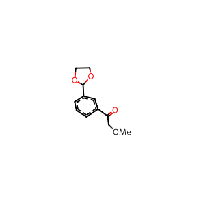 COCC(=O)c1cccc(C2OCCO2)c1